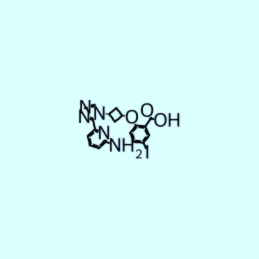 Nc1cccc(-c2nncn2[C@H]2C[C@@H](Oc3ccc(I)cc3C(=O)O)C2)n1